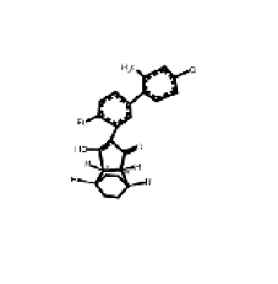 CCc1ccc(-c2ccc(Cl)cc2C)cc1C1=C(O)[C@H]2[C@H]3CC[C@H](CC3)[C@H]2C1=O